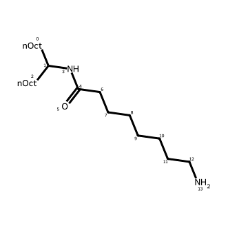 CCCCCCCCC(CCCCCCCC)NC(=O)CCCCCCCN